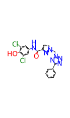 O=C(Nc1cc(Cl)c(O)c(Cl)c1)c1ccn(Cn2nnc(-c3ccccc3)n2)n1